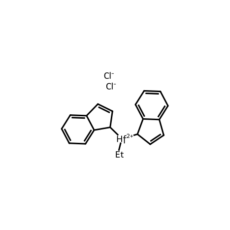 C[CH2][Hf+2]([CH]1C=Cc2ccccc21)[CH]1C=Cc2ccccc21.[Cl-].[Cl-]